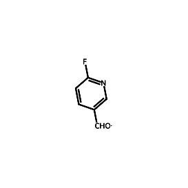 O=[C]c1ccc(F)nc1